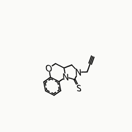 C#CCN1CC2COc3ccccc3N2C1=S